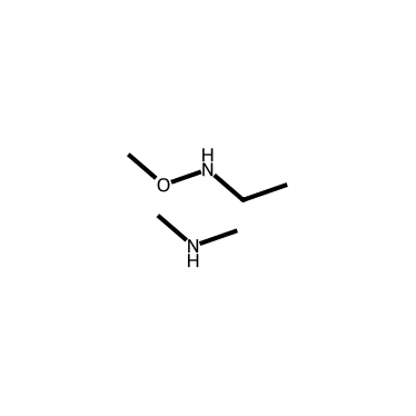 CCNOC.CNC